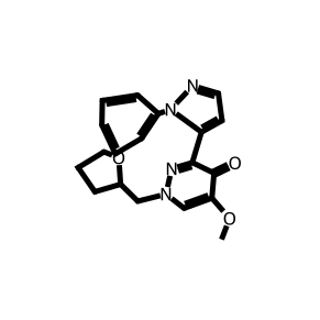 COc1cn(CC2CCCO2)nc(-c2ccnn2-c2ccccc2)c1=O